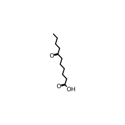 CCCCC(=O)CCCCCC(=O)O